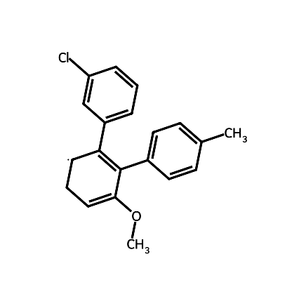 COC1=CC[CH]C(c2cccc(Cl)c2)=C1c1ccc(C)cc1